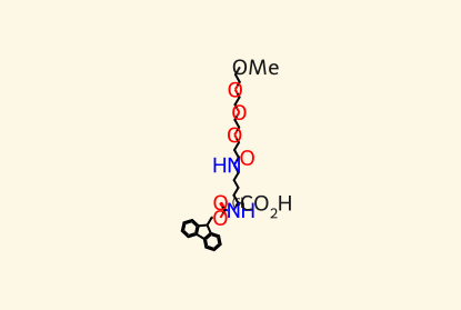 COCCOCCOCCOCCC(=O)NCCCC[C@H](NC(=O)OCC1c2ccccc2-c2ccccc21)C(=O)O